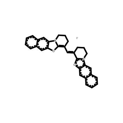 C(=C1CCC[n+]2c1oc1cc3ccccc3cc12)C1=C2Oc3cc4ccccc4cc3N2CCC1.[I-]